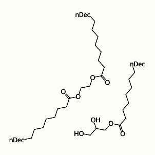 CCCCCCCCCCCCCCCCCC(=O)OCC(O)CO.CCCCCCCCCCCCCCCCCC(=O)OCCOC(=O)CCCCCCCCCCCCCCCCC